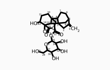 C=C1CC23CC1CCC2C12CCC(O)C(C)(C(=O)OC1)C2C3C(=O)OC1OC(CO)C(O)C(O)C1O